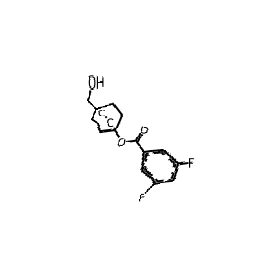 O=C(OC12CCC(CO)(CC1)CC2)c1cc(F)cc(F)c1